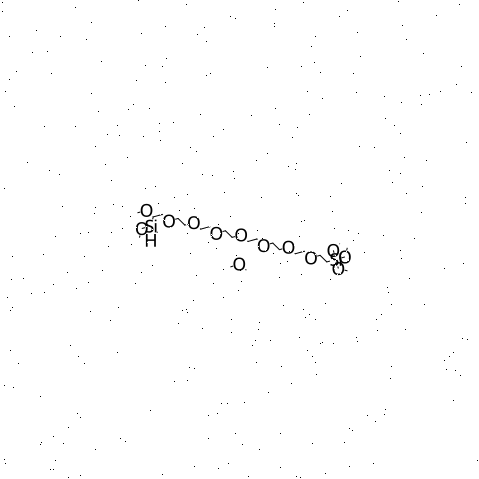 COC.COC(COCCOCCOCCOCCOCCOCCOCC[Si](OC)(OC)OC)[SiH](C)OC